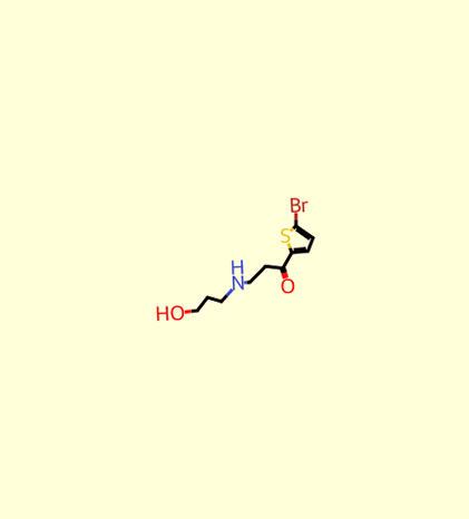 O=C(CCNCCCO)c1ccc(Br)s1